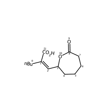 CCCCC(=CC1CCCCC(=O)O1)C(=O)O